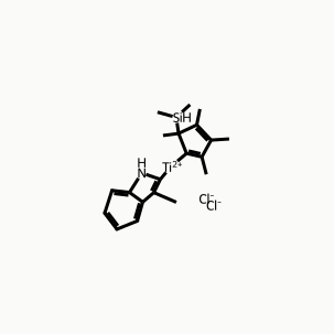 CC1=C(C)C(C)([SiH](C)C)[C]([Ti+2][c]2[nH]c3ccccc3c2C)=C1C.[Cl-].[Cl-]